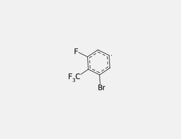 Fc1c[c]cc(Br)c1C(F)(F)F